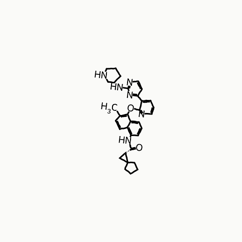 Cc1ccc2c(NC(=O)[C@H]3CC34CCCC4)cccc2c1Oc1ncccc1-c1ccnc(N[C@H]2CCCNC2)n1